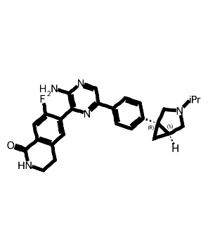 CC(C)N1C[C@H]2C[C@@]2(c2ccc(-c3cnc(N)c(-c4cc5c(cc4F)C(=O)NCC5)n3)cc2)C1